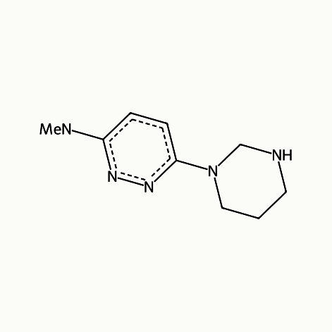 CNc1ccc(N2CCCNC2)nn1